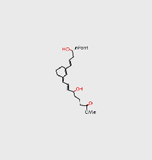 CCCCC[C@@H](O)C/C=C/C1=CC(=C\C=C\[C@@H](O)CCCC(=O)OC)/CCC1